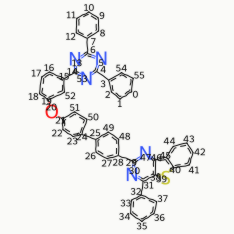 c1ccc(-c2nc(-c3ccccc3)nc(-c3cccc(Oc4ccc(-c5ccc(-c6nc(-c7ccccc7)c7sc8ccccc8c7n6)cc5)cc4)c3)n2)cc1